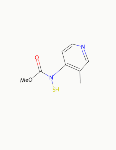 COC(=O)N(S)c1ccncc1C